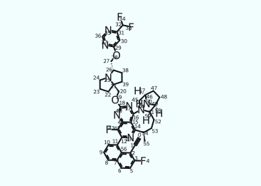 C#Cc1c(F)ccc2cccc(-c3nc4c5c(nc(OC[C@@]67CCCN6[C@H](COc6cc(C(F)F)ncn6)CC7)nc5c3F)N3C[C@H]5CC[C@H](N5)[C@H]3CC[C@H]4C)c12